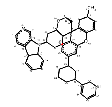 CC1C=CC2=C(C1)C1(C3=CCCCC3OC3CC(N4c5cnccc5C5C=CC=CC54)CCC31)c1ccc(C3CCCC(C4=CC=CNC4)C3)cc1O2